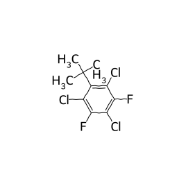 CC(C)(C)c1c(Cl)c(F)c(Cl)c(F)c1Cl